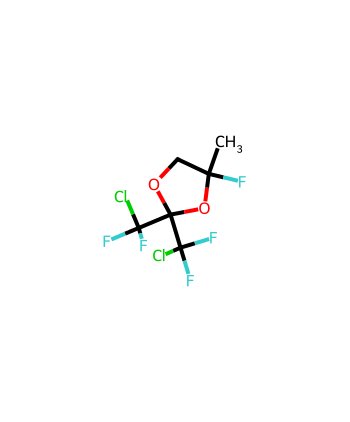 CC1(F)COC(C(F)(F)Cl)(C(F)(F)Cl)O1